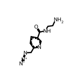 [N-]=[N+]=NCc1ccc(C(=O)NCCN)cn1